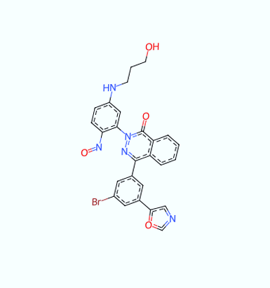 O=Nc1ccc(NCCCO)cc1-n1nc(-c2cc(Br)cc(-c3cnco3)c2)c2ccccc2c1=O